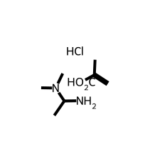 C=C(C)C(=O)O.CC(N)N(C)C.Cl